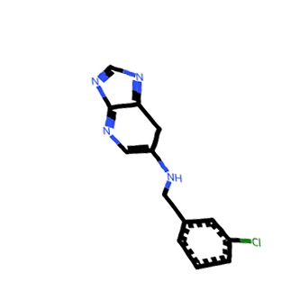 Clc1cccc(CNC2=CN=C3N=CN=C3C2)c1